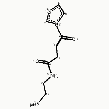 CSCCNC(=O)CCC(=O)n1ccnc1